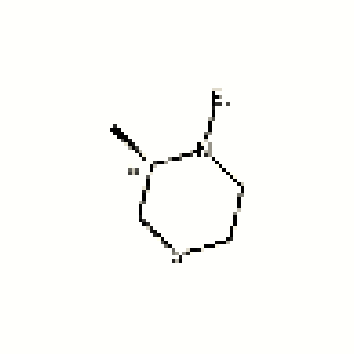 CCN1CCSC[C@H]1C